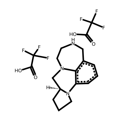 O=C(O)C(F)(F)F.O=C(O)C(F)(F)F.c1cc2c3c(c1)N1CCC[C@H]1CN3CCNC2